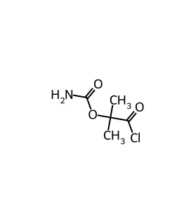 CC(C)(OC(N)=O)C(=O)Cl